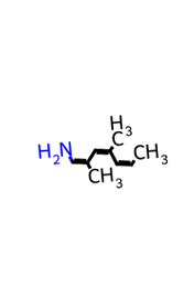 C\C=C/C(C)=C\C(C)=C/N